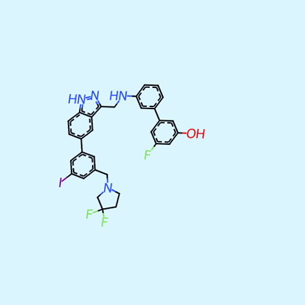 Oc1cc(F)cc(-c2cccc(NCc3n[nH]c4ccc(-c5cc(I)cc(CN6CCC(F)(F)C6)c5)cc34)c2)c1